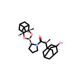 C[C@H](C(=O)N1CCC[C@H]1B1O[C@@H]2CC3CC(C3(C)C)[C@]2(C)O1)C12CC3CC(CC(O)(C3)C1)C2